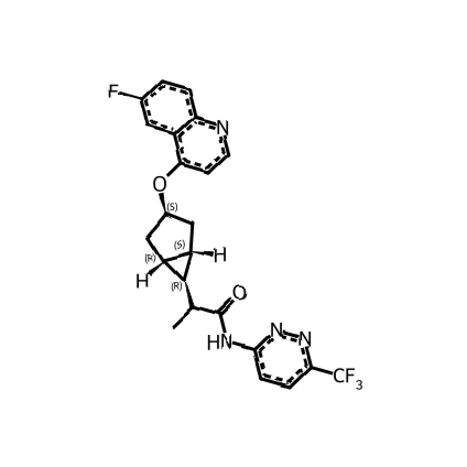 CC(C(=O)Nc1ccc(C(F)(F)F)nn1)[C@H]1[C@@H]2C[C@@H](Oc3ccnc4ccc(F)cc34)C[C@@H]21